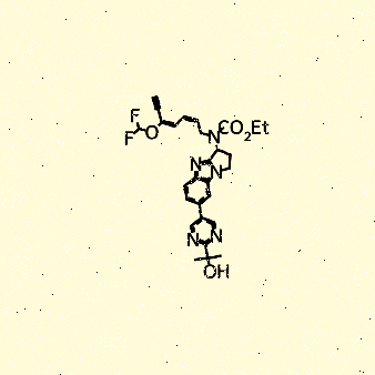 C#C/C(=C\C=C/CN(C(=O)OCC)[C@@H]1CCn2c1nc1ccc(-c3cnc(C(C)(C)O)nc3)cc12)OC(F)F